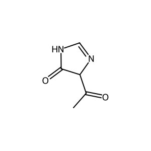 CC(=O)C1N=CNC1=O